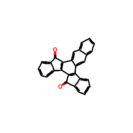 O=c1c2ccccc2c2c1c1cc3ccccc3cc1c1c3ccccc3c(=O)c12